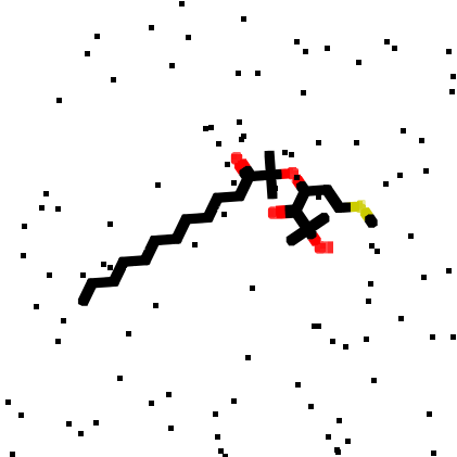 CCCCCCCCCCCC(=O)C(C)(C)OC(CCSC)C(=O)C(C)(C)O